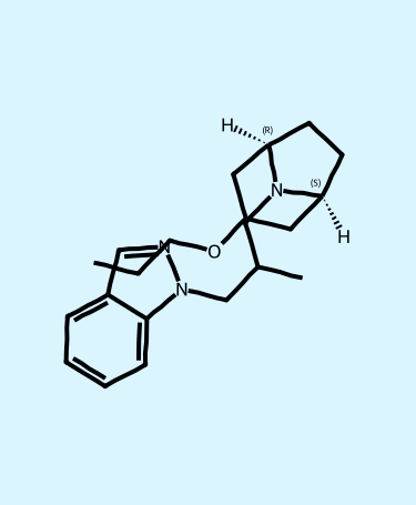 CCCOC1C[C@H]2CC[C@@H](C1)N2CC(C)Cn1ncc2ccccc21